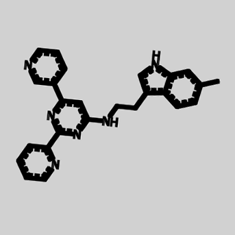 Cc1ccc2c(CCNc3cc(-c4cccnc4)nc(-c4ccccn4)n3)c[nH]c2c1